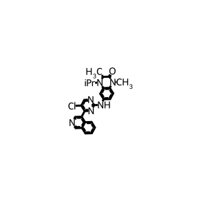 CC(C)N1c2cc(Nc3ncc(Cl)c(-c4cncc5ccccc45)n3)ccc2N(C)C(=O)C1C